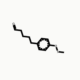 CSOc1ccc(CCCCC=O)cc1